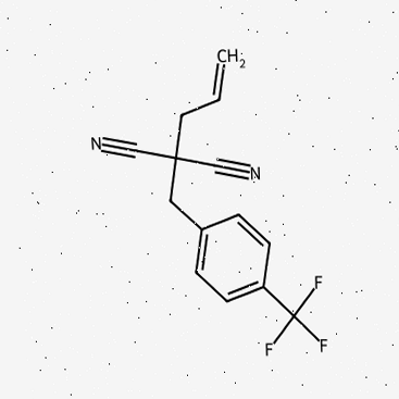 C=CCC(C#N)(C#N)Cc1ccc(C(F)(F)F)cc1